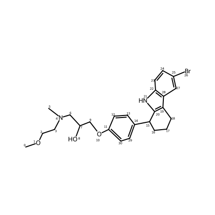 COCCN(C)CC(O)COc1ccc(C2CCCc3c2[nH]c2ccc(Br)cc32)cc1